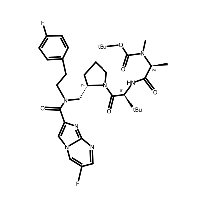 C[C@@H](C(=O)N[C@H](C(=O)N1CCC[C@H]1CN(CCc1ccc(F)cc1)C(=O)c1cn2cc(F)cnc2n1)C(C)(C)C)N(C)C(=O)OC(C)(C)C